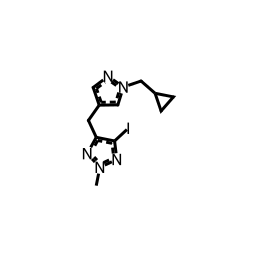 Cn1nc(I)c(Cc2cnn(CC3CC3)c2)n1